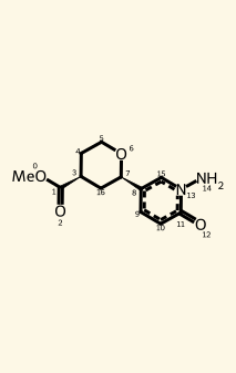 COC(=O)[C@H]1CCO[C@@H](c2ccc(=O)n(N)c2)C1